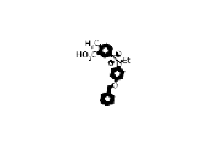 CCN(c1ccc(OCc2ccccc2)cc1)S(=O)(=O)c1ccc(C)c(C(=O)O)c1